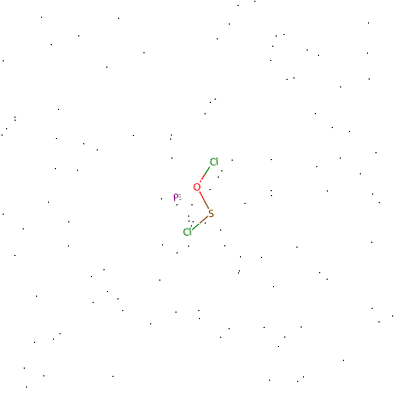 ClOSCl.[P]